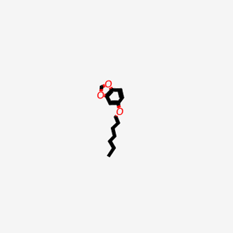 CCCCCCCOc1ccc2c(c1)OCO2